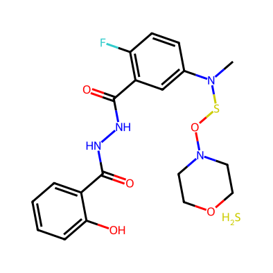 CN(SON1CCOCC1)c1ccc(F)c(C(=O)NNC(=O)c2ccccc2O)c1.S